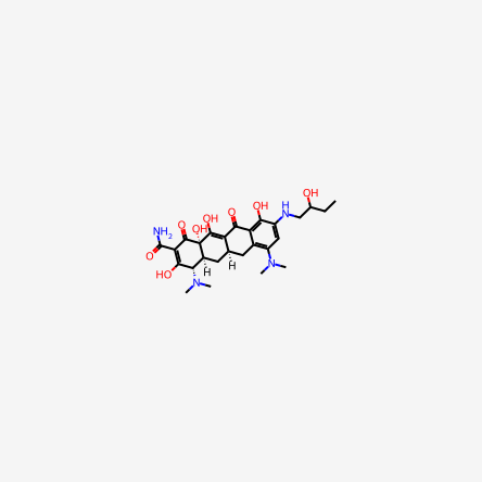 CCC(O)CNc1cc(N(C)C)c2c(c1O)C(=O)C1=C(O)[C@]3(O)C(=O)C(C(N)=O)=C(O)[C@@H](N(C)C)[C@@H]3C[C@@H]1C2